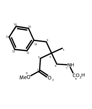 COC(=O)CC(C)(CNC(=O)O)Cc1ccccc1